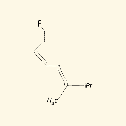 C/C(=C\C=C/CF)C(C)C